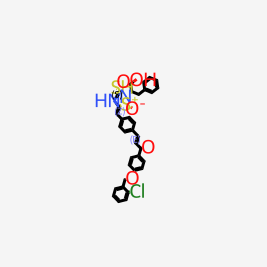 O=C(/C=C/c1ccc(/C=C2/N[C@H](S)N(C(Cc3ccccc3)C(=O)O)[S+]2[O-])cc1)c1ccc(OCc2ccccc2Cl)cc1